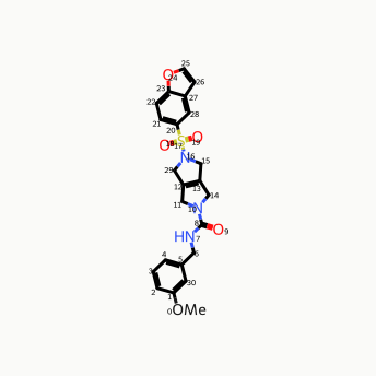 COc1cccc(CNC(=O)N2CC3=C(C2)CN(S(=O)(=O)c2ccc4occc4c2)C3)c1